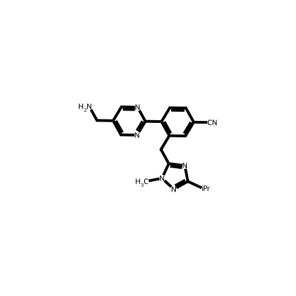 CC(C)c1nc(Cc2cc(C#N)ccc2-c2ncc(CN)cn2)n(C)n1